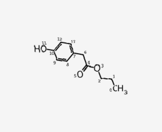 CCCOC(=O)Cc1ccc(O)cc1